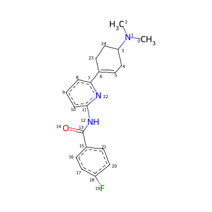 CN(C)C1CC=C(c2cccc(NC(=O)c3ccc(F)cc3)n2)CC1